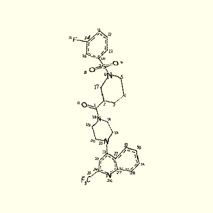 O=C(C1CCCN(S(=O)(=O)c2cccc(F)c2)C1)N1CCN(c2cc(C(F)(F)F)nc3ccccc23)CC1